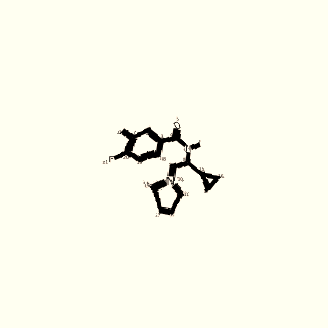 Cc1cc(C(=O)N(C)C(CN2CCCC2)C2CC2)ccc1F